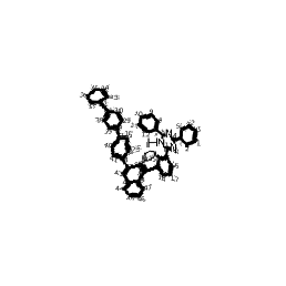 C1=CCC(C2=NC(c3ccccc3)NC(c3cccc4c3oc3c(-c5ccc(-c6ccc(C7C=CC=CC7)cc6)cc5)cc5ccccc5c34)=N2)C=C1